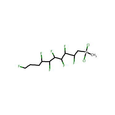 C[Si](Cl)(Cl)CC(F)C(F)C(F)C(F)C(F)C(F)CCCF